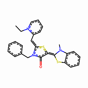 CC[n+]1ccccc1/C=c1\s/c(=C2/Sc3ccccc3N2C)c(=O)n1Cc1ccccc1